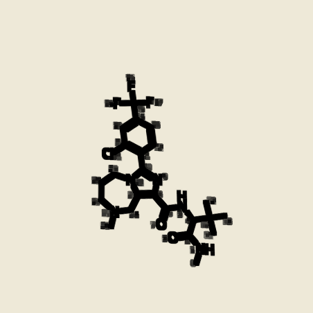 CNC(=O)[C@@H](NC(=O)c1nc(-c2ccc(C(F)(F)F)cc2Cl)n2c1CN(C)CCC2)C(C)(C)C